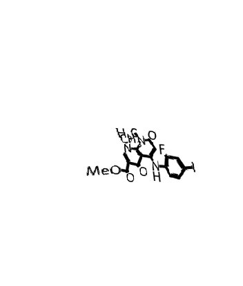 COC(=O)c1cn(C)c2c(c(Nc3ccc(I)cc3F)cc(=O)n2C)c1=O